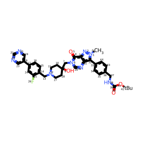 Cn1nc2c(=O)n(CC3(O)CCN(Cc4ccc(-c5cncnc5)cc4F)CC3)cnc2c1-c1ccc(CNC(=O)OC(C)(C)C)cc1